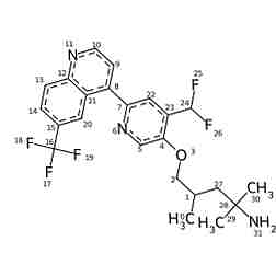 CC(COc1cnc(-c2ccnc3ccc(C(F)(F)F)cc23)cc1C(F)F)CC(C)(C)N